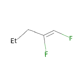 [CH2]CC/C(F)=C/F